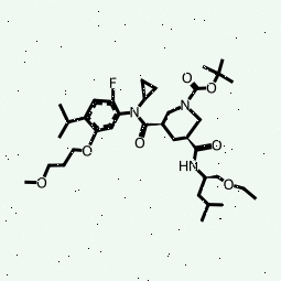 CCOC[C@@H](CC(C)C)NC(=O)[C@H]1C[C@@H](C(=O)N(c2cc(OCCCOC)c(C(C)C)cc2F)C2CC2)CN(C(=O)OC(C)(C)C)C1